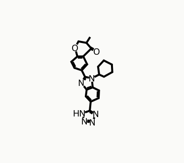 CC1COc2ccc(-c3nc4cc(-c5nnn[nH]5)ccc4n3C3CCCCC3)cc2C1=O